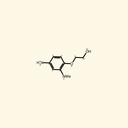 CNc1cc(N)ccc1OCCO